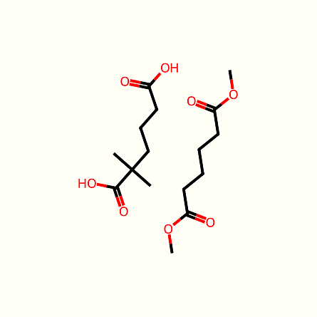 CC(C)(CCCC(=O)O)C(=O)O.COC(=O)CCCCC(=O)OC